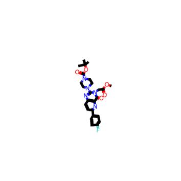 COC(=O)Cn1c(N2CCN(C(=O)OC(C)(C)C)CC2)nc2ccc(-c3ccc(F)cc3)nc2c1=O